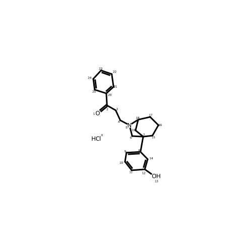 Cl.O=C(CCN1CC2(c3cccc(O)c3)CCCC1C2)c1ccccc1